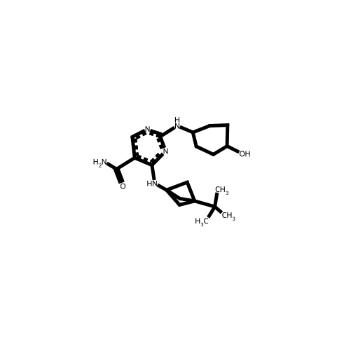 CC(C)(C)C12CC(Nc3nc(NC4CCC(O)CC4)ncc3C(N)=O)(C1)C2